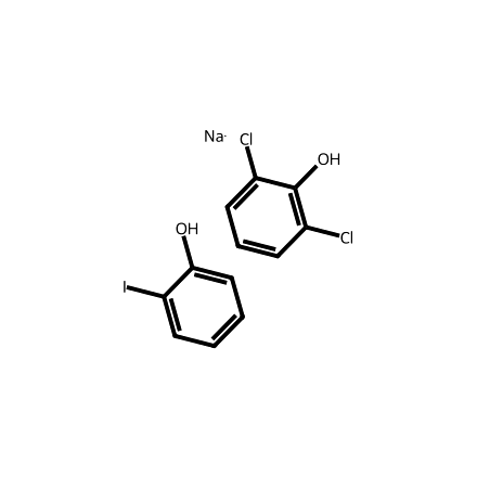 Oc1c(Cl)cccc1Cl.Oc1ccccc1I.[Na]